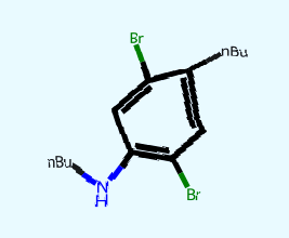 CCCCNc1cc(Br)c(CCCC)cc1Br